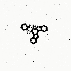 c1ccc2c(c1)cc1c3[nH]c4ccccc4oc3c3c4ccccc4cc3c21